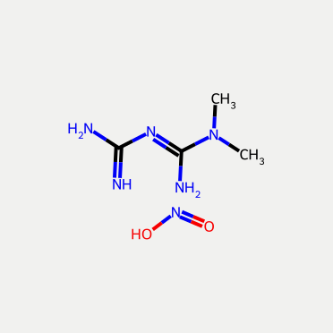 CN(C)/C(N)=N/C(=N)N.O=NO